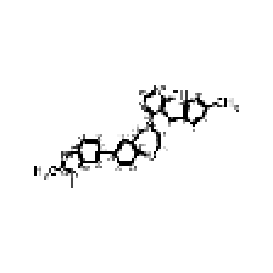 Cc1ccc(Cc2c(C)ncnc2N2CCOc3ccc(-c4ccc5nc(C)[nH]c5c4)cc3C2)cc1